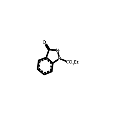 CCOC(=O)N1[N]C(=O)c2ccccc21